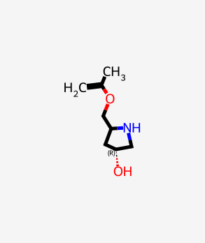 C=C(C)OCC1C[C@@H](O)CN1